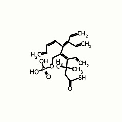 C=C/C=C\C(=C(C=C)C=C)/C(COP(=O)(O)O)=C(\C=C)C(C)(C)CC(=O)S